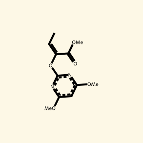 C/C=C(/Oc1nc(OC)cc(OC)n1)C(=O)OC